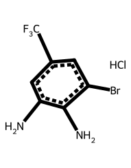 Cl.Nc1cc(C(F)(F)F)cc(Br)c1N